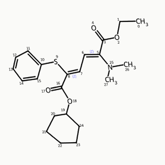 CCOC(=O)/C(=C/C=C(\Sc1ccccc1)C(=O)OC1CCCCC1)N(C)C